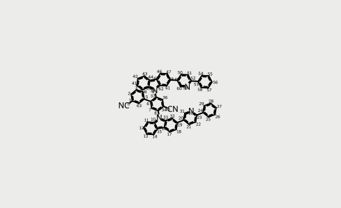 N#Cc1cccc(-c2cc(-n3c4ccccc4c4ccc(-c5ccc(-c6ccccc6)nc5)cc43)c(C#N)cc2-n2c3ccccc3c3ccc(-c4ccc(-c5ccccc5)nc4)cc32)c1